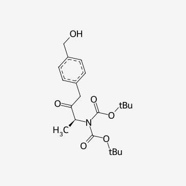 C[C@@H](C(=O)Cc1ccc(CO)cc1)N(C(=O)OC(C)(C)C)C(=O)OC(C)(C)C